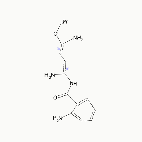 CC(C)O/C(N)=C/C=C(\N)NC(=O)c1ccccc1N